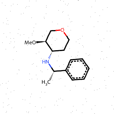 CO[C@H]1COCC[C@@H]1N[C@@H](C)c1ccccc1